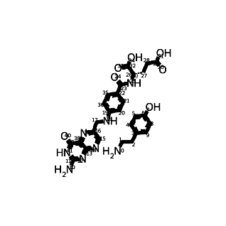 NCCc1ccc(O)cc1.Nc1nc2ncc(CNc3ccc(C(=O)N[C@@H](CCC(=O)O)C(=O)O)cc3)nc2c(=O)[nH]1